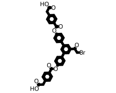 O=C(O)Cc1ccc(C(=O)Oc2ccc(-c3cc(C(=O)CBr)cc(-c4ccc(OC(=O)c5ccc(CC(=O)O)cc5)cc4)c3)cc2)cc1